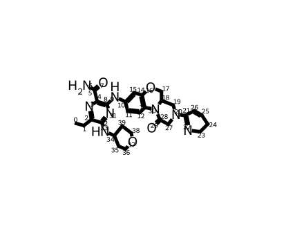 CCc1nc(C(N)=O)c(Nc2ccc3c(c2)OCC2CN(C4=NCCC=C4)CC(=O)N32)nc1NC1CCOCC1